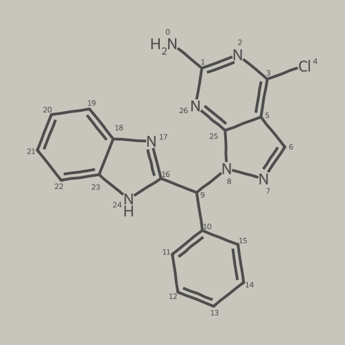 Nc1nc(Cl)c2cnn(C(c3ccccc3)c3nc4ccccc4[nH]3)c2n1